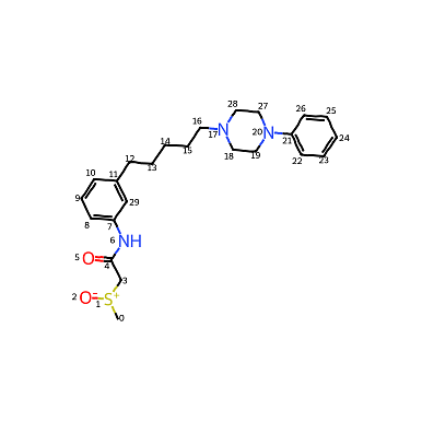 C[S+]([O-])CC(=O)Nc1cccc(CCCCCN2CCN(c3ccccc3)CC2)c1